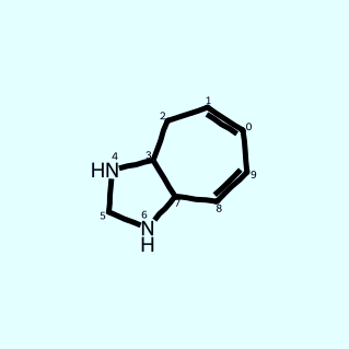 C1=CCC2NCNC2C=C1